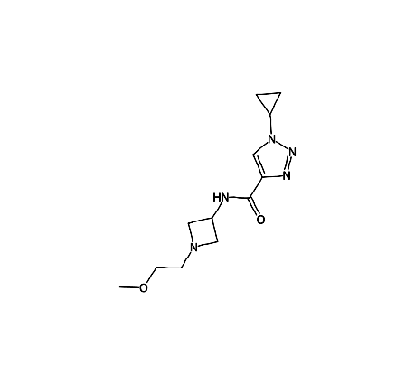 COCCN1CC(NC(=O)c2cn(C3CC3)nn2)C1